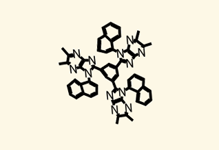 Cc1nc2nc(-c3cc(-c4nc5nc(C)c(C)nc5n4-c4cccc5ccccc45)cc(-c4nc5nc(C)c(C)nc5n4-c4cccc5ccccc45)c3)n(-c3cccc4ccccc34)c2nc1C